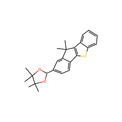 CC1(C)c2cc(B3OC(C)(C)C(C)(C)O3)ccc2-c2sc3ccccc3c21